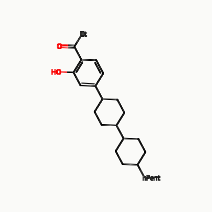 CCCCCC1CCC(C2CCC(c3ccc(C(=O)CC)c(O)c3)CC2)CC1